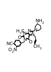 CC#CCn1c(N2CCC[C@@H](N)C2)nc2c1c(=O)n(Cc1ccc(C#N)c([N+](=O)[O-])c1)c(=O)n2C